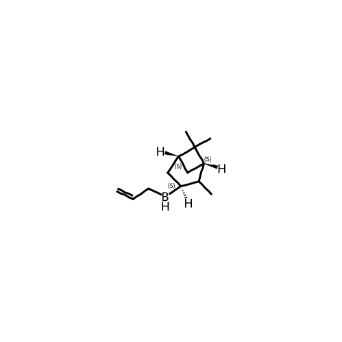 C=CCB[C@H]1C[C@H]2C[C@@H](C1C)C2(C)C